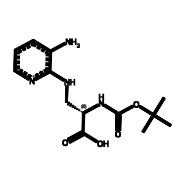 CC(C)(C)OC(=O)N[C@@H](CNc1ncccc1N)C(=O)O